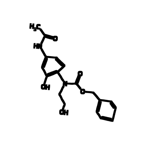 CC(=O)Nc1ccc(N(CCO)C(=O)OCc2ccccc2)c(O)c1